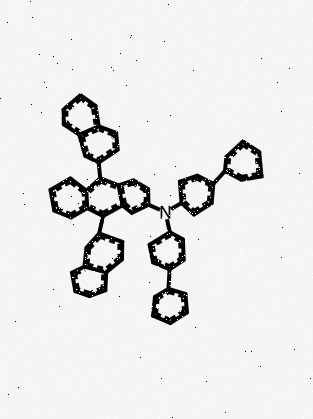 c1ccc(-c2ccc(N(c3ccc(-c4ccccc4)cc3)c3ccc4c(-c5ccc6ccccc6c5)c5ccccc5c(-c5ccc6ccccc6c5)c4c3)cc2)cc1